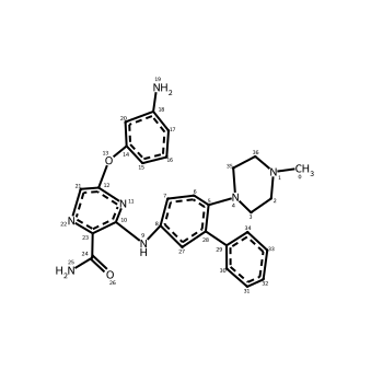 CN1CCN(c2ccc(Nc3nc(Oc4cccc(N)c4)cnc3C(N)=O)cc2-c2ccccc2)CC1